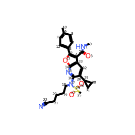 CNC(=O)c1c(-c2ccc(C)cc2)oc2nc(N(CCCCC#N)S(C)(=O)=O)c(C3CC3)cc12